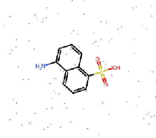 Nc1cccc2c(S(=O)(=O)O)cccc12